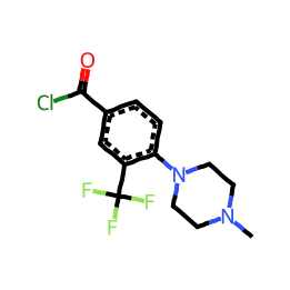 CN1CCN(c2ccc(C(=O)Cl)cc2C(F)(F)F)CC1